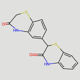 O=C1CSc2ccc(C3Sc4cc[c]cc4NC3=O)cc2N1